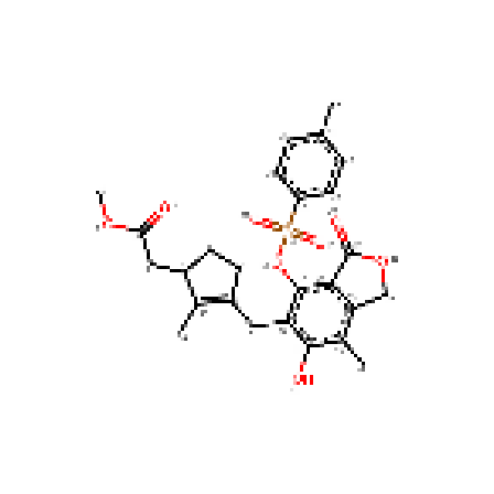 COC(=O)CC1CCC(Cc2c(O)c(C)c3c(c2OS(=O)(=O)c2ccc(C)cc2)C(=O)OC3)=C1C